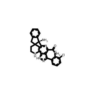 NC(=O)c1nc([C@@]2(N)c3ccccc3CC23CCNCC3)nc2[nH]nc(-c3cccc(Cl)c3Cl)c12